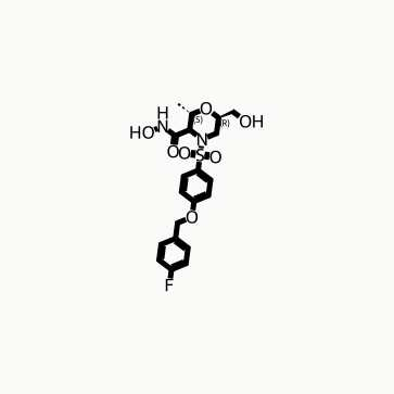 C[C@@H]1O[C@@H](CO)CN(S(=O)(=O)c2ccc(OCc3ccc(F)cc3)cc2)C1C(=O)NO